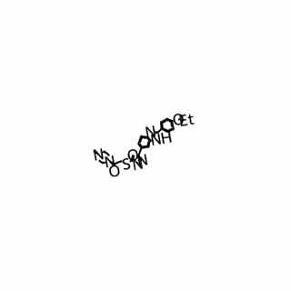 CCOc1ccc(-c2nc3ccc(-c4nnc(SCC(=O)N5CCN(C)CC5)o4)cc3[nH]2)cc1